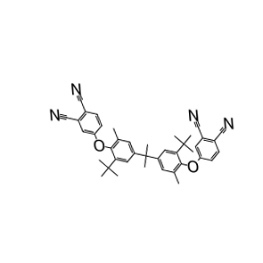 Cc1cc(C(C)(C)c2cc(C)c(Oc3ccc(C#N)c(C#N)c3)c(C(C)(C)C)c2)cc(C(C)(C)C)c1Oc1ccc(C#N)c(C#N)c1